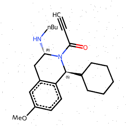 C#CC(=O)N1[C@@H](NCCCC)Cc2cc(OC)ccc2[C@@H]1C1CCCCC1